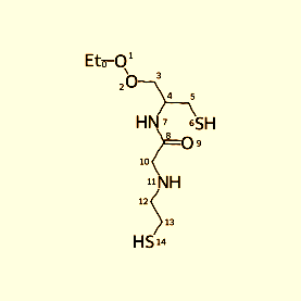 CCOOCC(CS)NC(=O)CNCCS